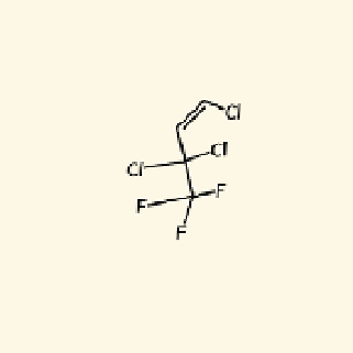 FC(F)(F)C(Cl)(Cl)/C=C\Cl